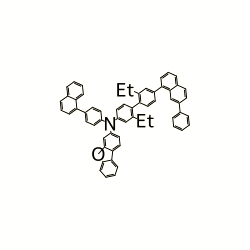 CCc1cc(-c2cccc3ccc(-c4ccccc4)cc23)ccc1-c1ccc(N(c2ccc(-c3cccc4ccccc34)cc2)c2ccc3c(c2)oc2ccccc23)cc1CC